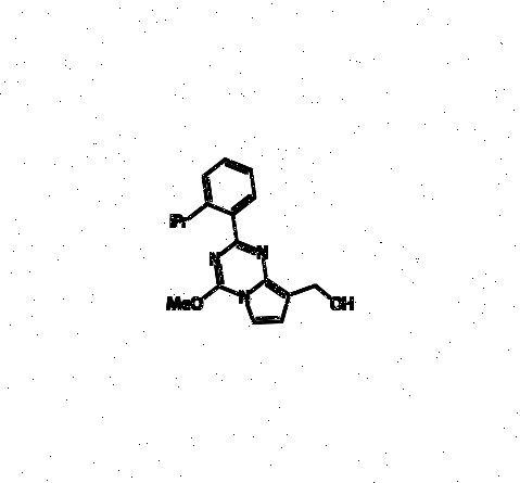 COc1nc(-c2ccccc2C(C)C)nc2c(CO)ccn12